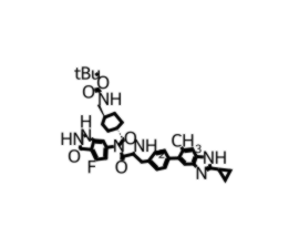 Cc1cc2[nH]c(C3CC3)nc2cc1-c1ccc(C[C@H](N)C(=O)N(c2cc(F)c3c(=O)[nH][nH]c3c2)C(=O)[C@H]2CC[C@H](CNC(=O)OC(C)(C)C)CC2)cc1